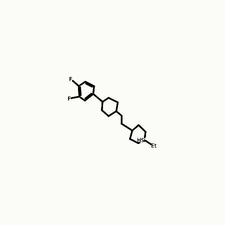 CC[SiH]1CCC(CCC2CCC(c3ccc(F)c(F)c3)CC2)CC1